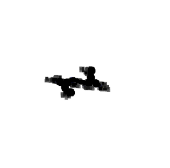 CC(=O)O/N=C(/C=C\OCCOCC/C(=N/OC(C)=O)c1ccc2c(c1)c1cc(C(=O)c3ccccc3C)ccc1n2-c1ccc(/C(C)=N/OC(C)=O)cc1)c1ccc2c(c1)c1cc(C(=O)c3ccccc3C)ccc1n2-c1ccc(/C(C)=N/OC(C)=O)cc1